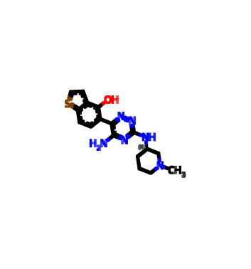 CN1CCC[C@@H](Nc2nnc(-c3ccc4sccc4c3O)c(N)n2)C1